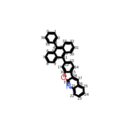 c1ccc(-c2c3ccccc3c(-c3ccc4c(c3)oc3nc5ccccc5cc34)c3ccccc23)cc1